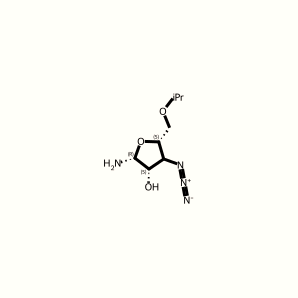 CC(C)OC[C@H]1O[C@@H](N)[C@@H](O)C1N=[N+]=[N-]